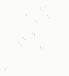 CC(C)(C)c1cc(-c2ccc(F)cc2)nn2cc(C(=O)N3CCN(C4COC4)C(=O)C3(C)C)nc12